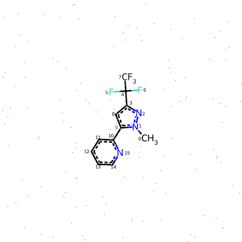 Cn1nc(C(F)(F)C(F)(F)F)cc1-c1ccccn1